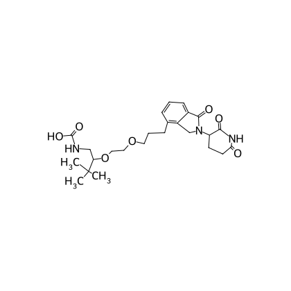 CC(C)(C)C(CNC(=O)O)OCCOCCCc1cccc2c1CN(C1CCC(=O)NC1=O)C2=O